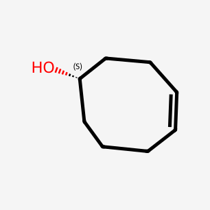 O[C@@H]1CCC=CCCC1